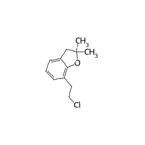 CC1(C)Cc2cccc(CCCl)c2O1